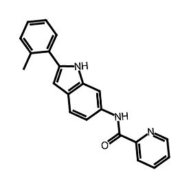 Cc1ccccc1-c1cc2ccc(NC(=O)c3ccccn3)cc2[nH]1